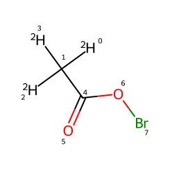 [2H]C([2H])([2H])C(=O)OBr